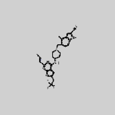 C/C=C/c1nc(NC2CCN(Cc3ccc4[nH]c(C#N)cc4c3C)CC2)c2cc(CC(F)(F)F)sc2n1